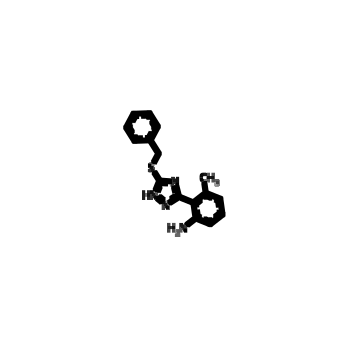 Cc1cccc(N)c1-c1n[nH]c(SCc2ccccc2)n1